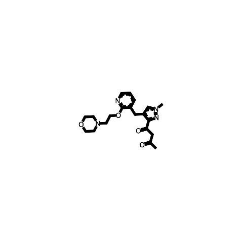 CC(=O)CC(=O)c1nn(C)cc1Cc1cccnc1OCCN1CCOCC1